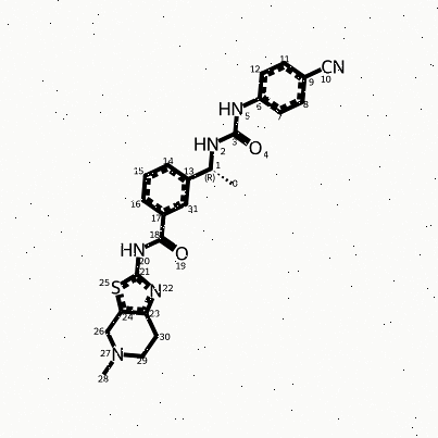 C[C@@H](NC(=O)Nc1ccc(C#N)cc1)c1cccc(C(=O)Nc2nc3c(s2)CN(C)CC3)c1